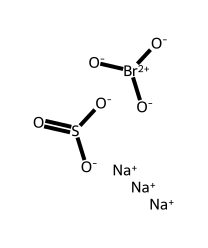 O=S([O-])[O-].[Na+].[Na+].[Na+].[O-][Br+2]([O-])[O-]